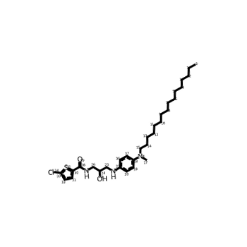 CCCCCCCCCCCCCCCCN(C)c1ccc(NCC(O)CNC(=O)c2ccc(Cl)s2)cc1